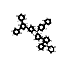 c1ccc(-c2ccc(N(c3ccc(-c4cc(-c5ccccc5)cc(-c5ccccc5)c4)cc3)c3cccc(-c4cccc5c4c4ccccc4n5C4CCCCC4)c3)cc2)cc1